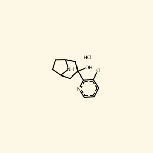 Cl.OC1(c2ncccc2Cl)CC2CCC(C1)N2